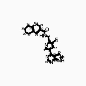 O=C(NCc1ncc(-c2ncnc3[nH]ncc23)cc1F)C1=CC2=C(CCCC2)SC1